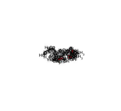 CSCC[C@H](NC(=O)[C@H](Cc1ccccc1)NC(=O)CNC(=O)[C@@H](C)NC(=O)[C@@H](N)Cc1ccc(O)cc1)C(=O)N[C@H](C(=O)N[C@@H](CO)C(=O)N[C@@H](CCC(=O)O)C(=O)N[C@@H](CCCCN)C(=O)N[C@@H](CO)C(=O)N[C@@H](CCC(N)=O)C(=O)N[C@H](C(=O)N1CCC[C@H]1C(=O)N[C@@H](CC(C)C)C(=O)N[C@H](C(=O)N[C@H](C(=O)O)[C@@H](C)O)C(C)C)[C@@H](C)O)[C@@H](C)O